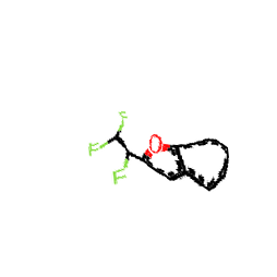 FC(F)C(F)c1cc2ccccc2o1